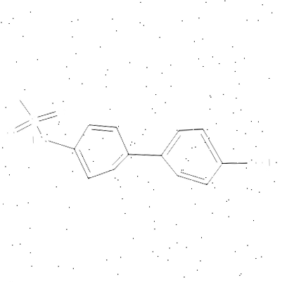 CS(=O)(=O)Nc1ccc(-c2ccc(S(=O)(=O)O)cc2)cc1